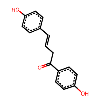 O=C(CC=Cc1ccc(O)cc1)c1ccc(O)cc1